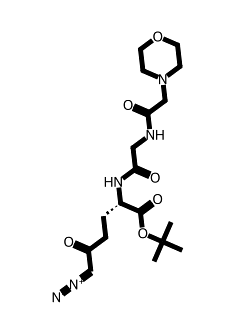 CC(C)(C)OC(=O)[C@H](CCC(=O)C=[N+]=[N-])NC(=O)CNC(=O)CN1CCOCC1